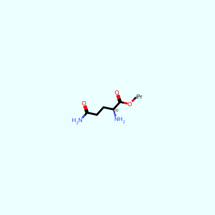 CC(C)OC(=O)[C@@H](N)CCC(N)=O